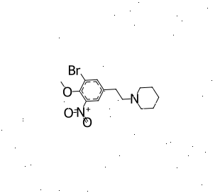 COc1c(Br)cc(CCN2CCCCC2)cc1[N+](=O)[O-]